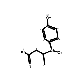 CC(CC(=O)O)[S+]([O-])c1ccc(O)cc1